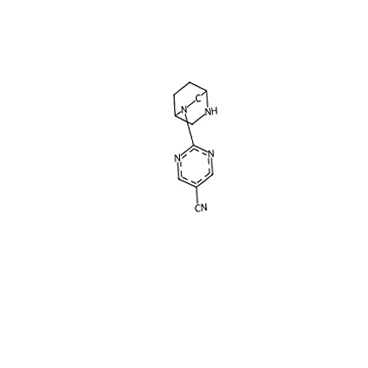 N#Cc1cnc(N2CC3CCC2CN3)nc1